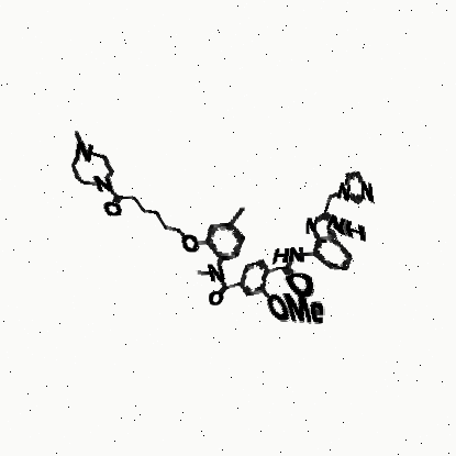 COc1cc(C(=O)N(C)c2ccc(C)cc2OCCCCCC(=O)N2CCN(C)CC2)ccc1C(=O)Nc1cccc2[nH]c(Cn3ccnc3)nc12